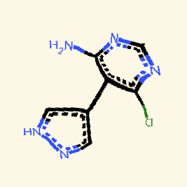 Nc1ncnc(Cl)c1-c1cn[nH]c1